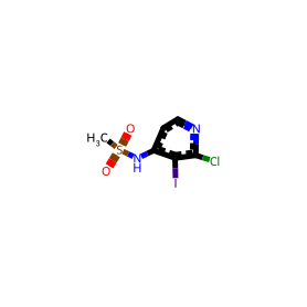 CS(=O)(=O)Nc1ccnc(Cl)c1I